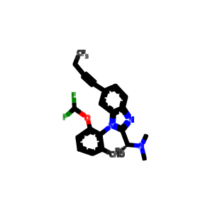 CC[C@H](c1nc2ccc(C#CCC(F)(F)F)cc2n1-c1c(C=O)cccc1OC(F)F)N(C)C